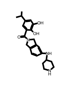 CC(C)c1cc(O)c(O)c(C(=O)N2Cc3ccc(NC4CCNCC4)cc3C2)c1